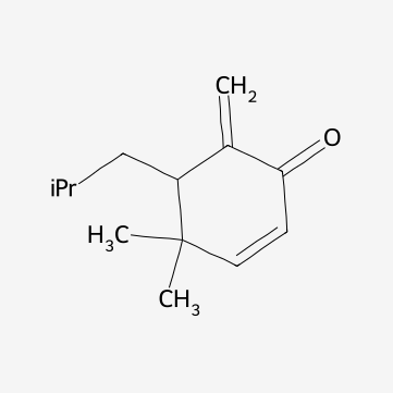 C=C1C(=O)C=CC(C)(C)C1CC(C)C